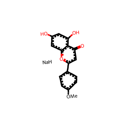 COc1ccc(-c2cc(=O)c3c(O)cc(O)cc3o2)cc1.[NaH]